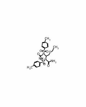 CCOCC(N(C(N)=O)S(=O)(=O)c1ccc(C)cc1)N(C(N)=O)S(=O)(=O)c1ccc(C)cc1